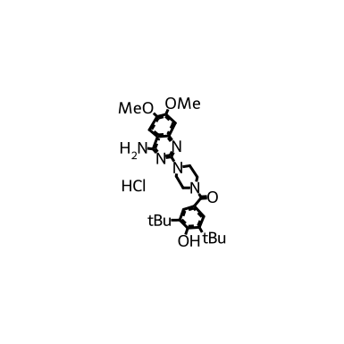 COc1cc2nc(N3CCN(C(=O)c4cc(C(C)(C)C)c(O)c(C(C)(C)C)c4)CC3)nc(N)c2cc1OC.Cl